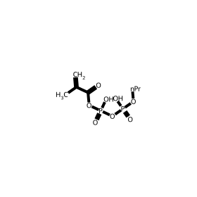 C=C(C)C(=O)OP(=O)(O)OP(=O)(O)OCCC